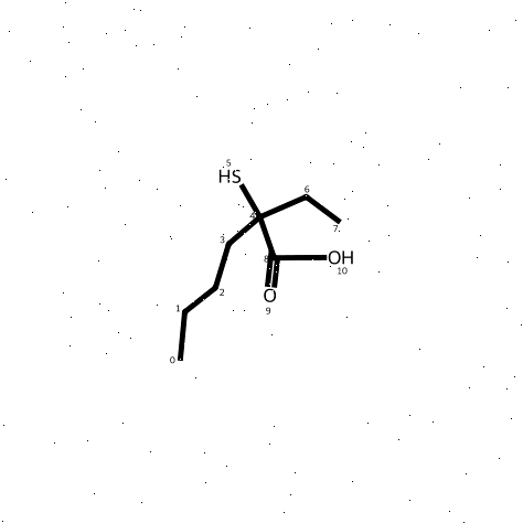 CCCCC(S)(CC)C(=O)O